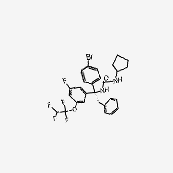 O=C(NC1CCCC1)N[C@](Cc1ccccc1)(c1ccc(Br)cc1)c1cc(F)cc(OC(F)(F)C(F)F)c1